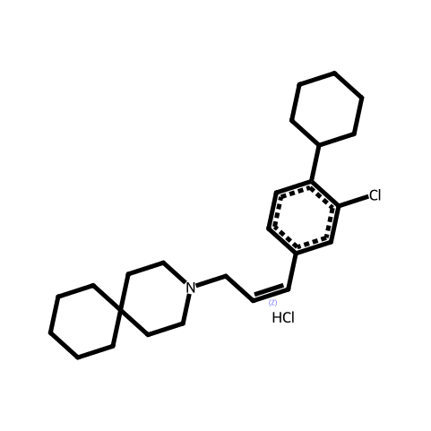 Cl.Clc1cc(/C=C\CN2CCC3(CCCCC3)CC2)ccc1C1CCCCC1